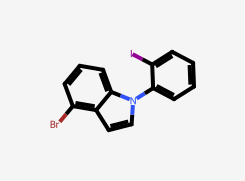 Brc1cccc2c1ccn2-c1ccccc1I